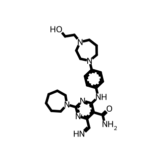 N=Cc1nc(N2CCCCCC2)nc(Nc2ccc(N3CCCN(CCO)CC3)cc2)c1C(N)=O